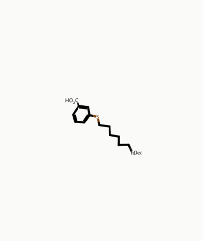 CCCCCCCCCCCCCCCCSc1cccc(C(=O)O)c1